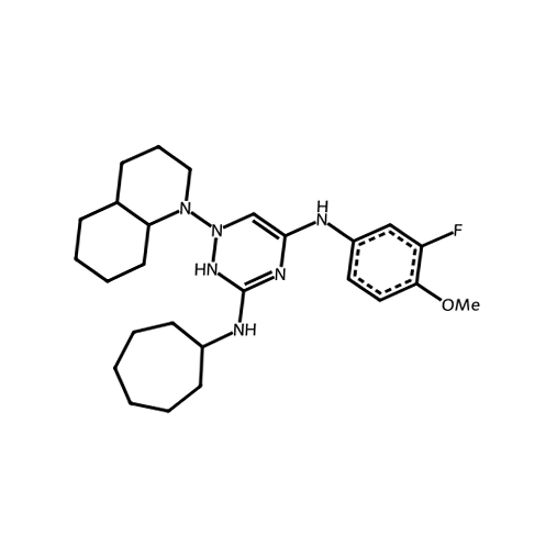 COc1ccc(NC2=CN(N3CCCC4CCCCC43)NC(NC3CCCCCC3)=N2)cc1F